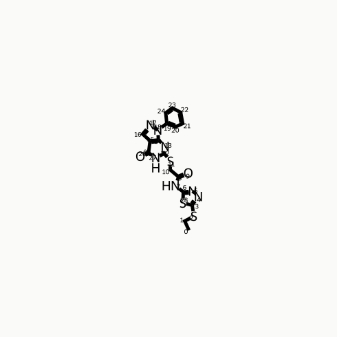 CCSc1nnc(NC(=O)CSc2nc3c(cnn3-c3ccccc3)c(=O)[nH]2)s1